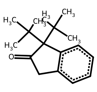 CC(C)(C)C1(C(C)(C)C)C(=O)Cc2ccccc21